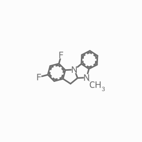 CN1c2ccccc2N2c3c(F)cc(F)cc3CC12